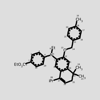 CCOC(=O)c1ccc(N(CC)c2cc3c(cc2OCc2ccc(C)cc2)C(C)(C)CC=C3C(C)C)cc1